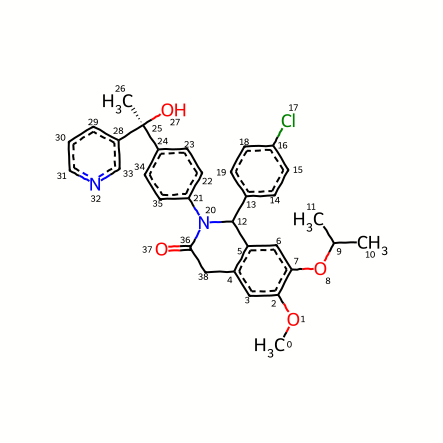 COc1cc2c(cc1OC(C)C)C(c1ccc(Cl)cc1)N(c1ccc([C@](C)(O)c3cccnc3)cc1)C(=O)C2